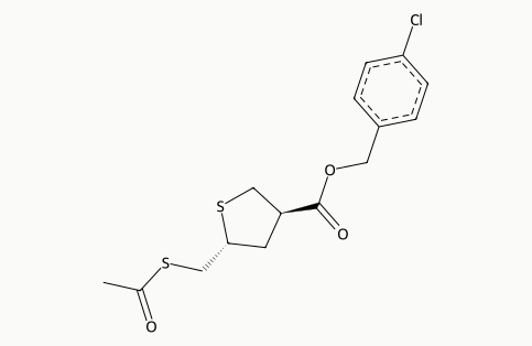 CC(=O)SC[C@H]1C[C@H](C(=O)OCc2ccc(Cl)cc2)CS1